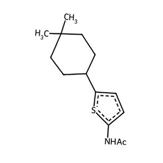 CC(=O)Nc1ccc(C2CCC(C)(C)CC2)s1